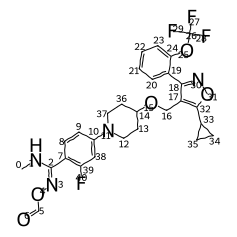 CN/C(=N\OC=O)c1ccc(N2CCC(OCc3c(-c4ccccc4OC(F)(F)F)noc3C3CC3)CC2)cc1F